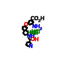 Cl.Cl.Cl.Nc1cc(Oc2ccc3c(c2)C[C@@H](NC[C@H](O)c2cccnc2)CC3)cc(C(=O)O)c1